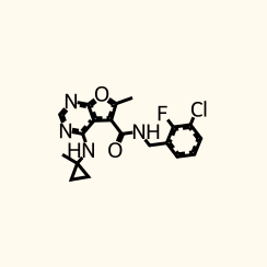 Cc1oc2ncnc(NC3(C)CC3)c2c1C(=O)NCc1cccc(Cl)c1F